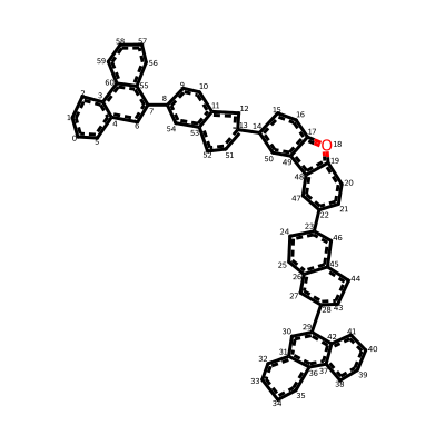 c1ccc2c(c1)cc(-c1ccc3cc(-c4ccc5oc6ccc(-c7ccc8cc(-c9cc%10ccccc%10c%10ccccc9%10)ccc8c7)cc6c5c4)ccc3c1)c1ccccc12